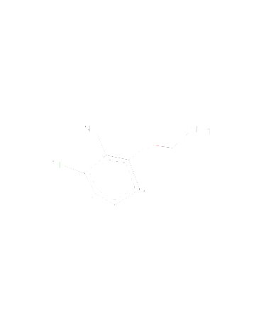 CCCCCCCCOc1cccc(F)c1C#N